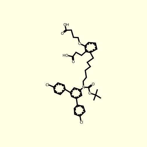 CC(C)(C)OC(=O)N(CCCCCCc1cccc(OCCCC(=O)O)c1CCC(=O)O)c1cc(-c2ccc(Cl)cc2)cc(-c2ccc(Cl)cc2)c1